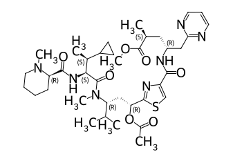 COC(=O)[C@@H](C)C[C@H](Cc1ncccn1)NC(=O)c1csc([C@@H](C[C@H](C(C)C)N(C)C(=O)[C@@H](NC(=O)[C@H]2CCCCN2C)[C@@H](C)C2CC2)OC(C)=O)n1